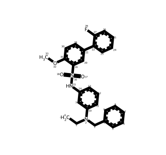 [CH2]CN(Cc1ccccc1)c1cccc(NS(=O)(=O)c2cc(-c3ccccc3F)ccc2OC)c1